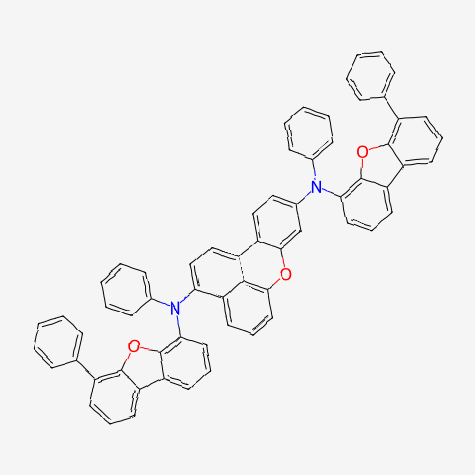 c1ccc(-c2cccc3c2oc2c(N(c4ccccc4)c4ccc5c(c4)Oc4cccc6c(N(c7ccccc7)c7cccc8c7oc7c(-c9ccccc9)cccc78)ccc-5c46)cccc23)cc1